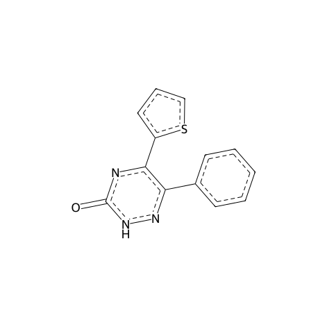 O=c1nc(-c2cccs2)c(-c2ccccc2)n[nH]1